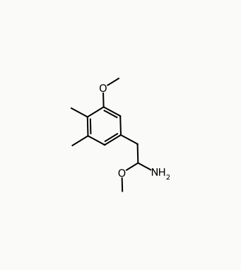 COc1cc(CC(N)OC)cc(C)c1C